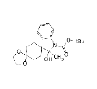 CC(C)(C)OC(=O)N1c2ccccc2C2(CCC3(CC2)OCCO3)C1(C)O